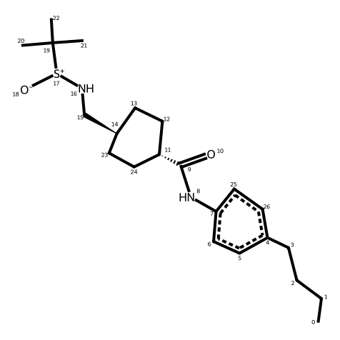 CCCCc1ccc(NC(=O)[C@H]2CC[C@H](CN[S+]([O-])C(C)(C)C)CC2)cc1